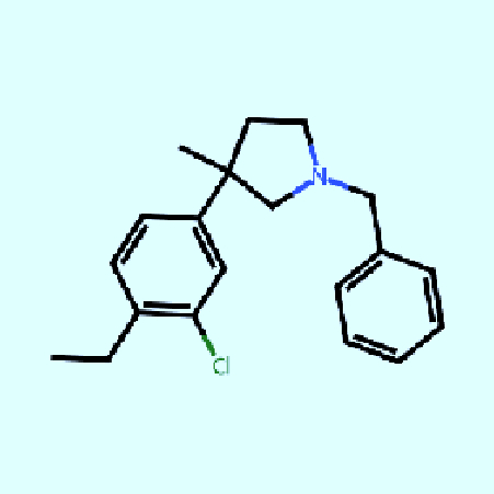 CCc1ccc(C2(C)CCN(Cc3ccccc3)C2)cc1Cl